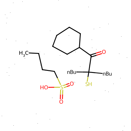 CCCCC(S)(CCCC)C(=O)C1CCCCC1.CCCCS(=O)(=O)O